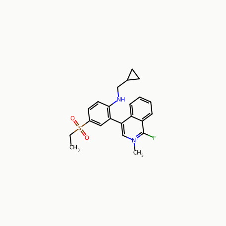 CCS(=O)(=O)c1ccc(NCC2CC2)c(-c2c[n+](C)c(F)c3ccccc23)c1